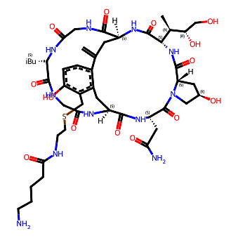 C=C1C[C@@H]2NC(=O)[C@H]([C@@H](C)[C@@H](O)CO)NC(=O)[C@@H]3C[C@@H](O)CN3C(=O)[C@H](CC(N)=O)NC(=O)[C@H](Cc3c1ccc(O)c3CSCCNC(=O)CCCCN)NC(=O)CNC(=O)C([C@@H](C)CC)NC(=O)CNC2=O